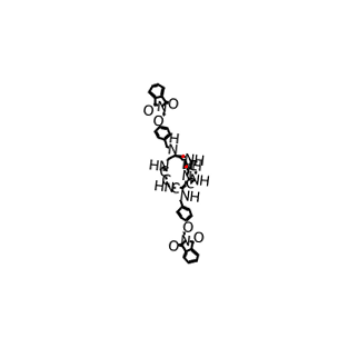 O=C1c2ccccc2C(=O)N1COc1ccc(CNC23CNCCNCC(NCc4ccc(OCN5C(=O)c6ccccc6C5=O)cc4)(CNCCNC2)CNCCNC3)cc1